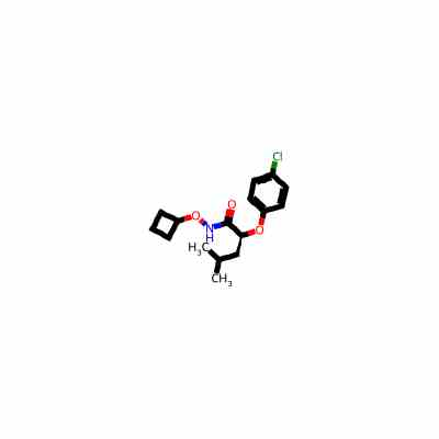 CC(C)C[C@H](Oc1ccc(Cl)cc1)C(=O)NOC1CCC1